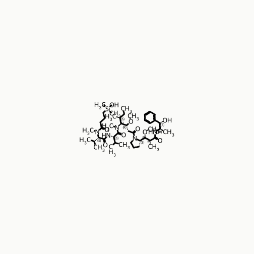 CC[C@H](C)[C@@H]([C@@H](CC(=O)N1CCC[C@H]1[C@H](OC)[C@@H](C)C(=O)N[C@H](C)[C@@H](O)c1ccccc1)OC)N(C)C(=O)[C@@H](NC(=O)[C@H](C(C)C)N(C)C(=O)CCC[Si](C)(C)O)C(C)C